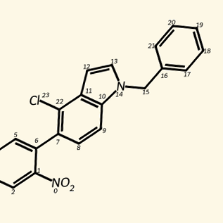 O=[N+]([O-])c1ccccc1-c1ccc2c(ccn2Cc2ccccc2)c1Cl